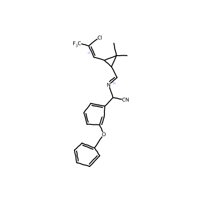 CC1(C)C(/C=C(\Cl)C(F)(F)F)C1/C=N/C(C#N)c1cccc(Oc2ccccc2)c1